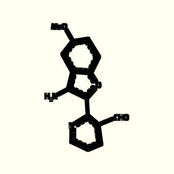 COc1ccc2oc(-c3ncccc3C=O)c(N)c2c1